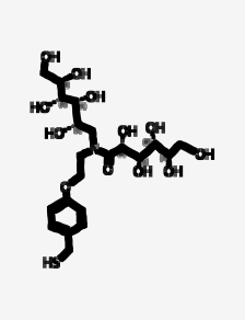 O=C([C@H](O)[C@@H](O)[C@H](O)[C@H](O)CO)N(CCOc1ccc(CS)cc1)C[C@H](O)[C@@H](O)[C@H](O)[C@H](O)CO